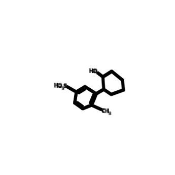 Cc1ccc(S(=O)(=O)O)cc1C1CCCCC1O